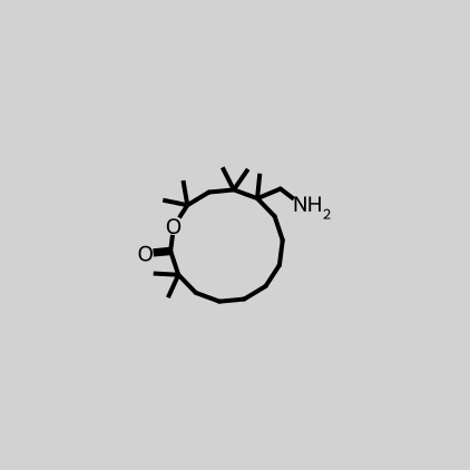 CC1(C)CC(C)(C)C(C)(CN)CCCCCCCC(C)(C)C(=O)O1